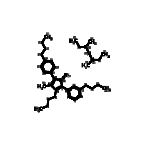 CCCCC1=C(c2cccc(CCCC)c2)[N+](=[N-])C(c2ccc(CCCC)cc2)=C1C.CC[N](C)[Ni][N](C)CC